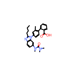 CCCCc1nc2ccc(N(C)C(=O)N(C)C)cc2n1-c1ccc(-c2ccccc2C(=O)O)c(C)c1